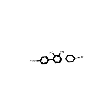 CCCCCc1ccc(-c2ccc([C@H]3CC[C@H](CCC)CC3)c(C#N)c2C#N)cc1